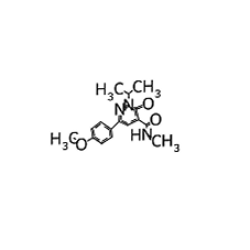 CNC(=O)c1cc(-c2ccc(OC)cc2)nn(C(C)C)c1=O